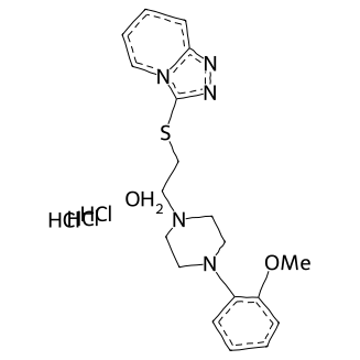 COc1ccccc1N1CCN(CCSc2nnc3ccccn23)CC1.Cl.Cl.Cl.O